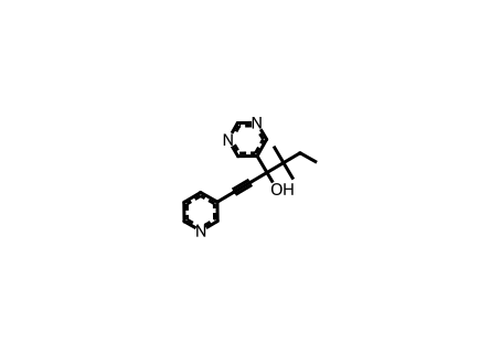 CCC(C)(C)C(O)(C#Cc1cccnc1)c1cncnc1